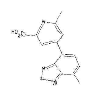 Cc1cc(-c2ccc(C)c3nsnc23)cc(C(=O)O)n1